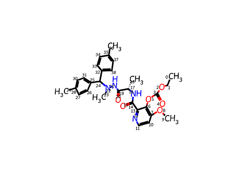 CCOC(=O)Oc1c(OC)ccnc1C(=O)N[C@@H](C)C(=O)NN(C)C(c1ccc(C)cc1)c1ccc(C)cc1